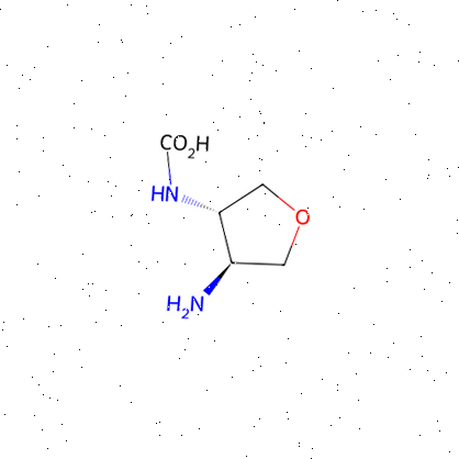 N[C@@H]1COC[C@H]1NC(=O)O